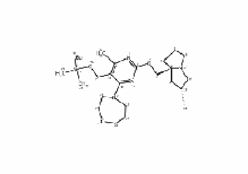 Cc1nc(OC[C@@]23CCCN2C[C@H](F)C3)nc(N2CCCOCC2)c1CO[Si](C)(C)C(C)(C)C